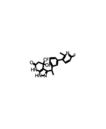 Cc1nc(F)ccc1-c1cccc(C(C)c2n[nH]c3c2C(O)(C(F)(F)F)CC(=O)N3)c1